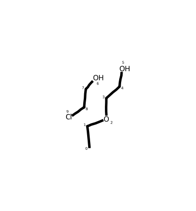 CCOCCO.OCCCl